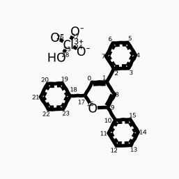 C1=C(c2ccccc2)C=C(c2ccccc2)OC1c1ccccc1.[O-][Cl+3]([O-])([O-])O